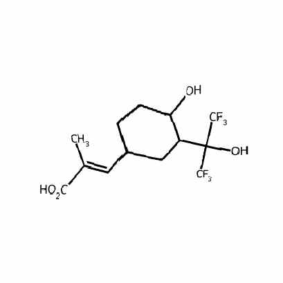 CC(=CC1CCC(O)C(C(O)(C(F)(F)F)C(F)(F)F)C1)C(=O)O